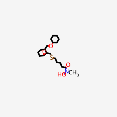 CN(O)C(=O)CCCCSCC1C2CCC(O2)C1COC1CCCCC1